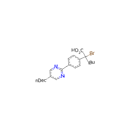 CCCCCCCCCCc1cnc(-c2ccc(C(Br)(C(=O)O)C(C)CC)cc2)nc1